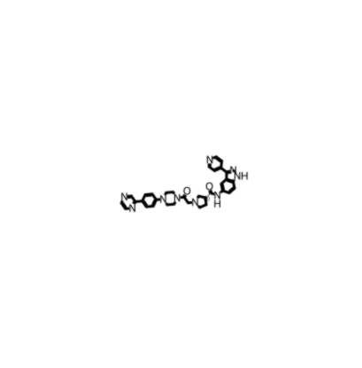 O=C(Nc1ccc2[nH]nc(-c3ccncc3)c2c1)[C@@H]1CCN(CC(=O)N2CCN(c3ccc(-c4cnccn4)cc3)CC2)C1